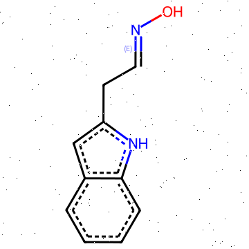 O/N=C/Cc1cc2ccccc2[nH]1